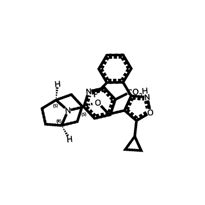 O=C(O)c1ccc(N2[C@@H]3CC[C@H]2C[C@H](OCc2c(-c4ccccc4F)noc2C2CC2)C3)nc1